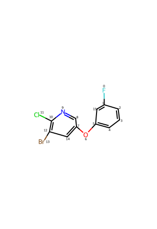 Fc1cccc(Oc2cnc(Cl)c(Br)c2)c1